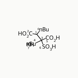 CCCCC(C(=O)O)C(CCCC)(C(=O)O)S(=O)(=O)O.[KH]